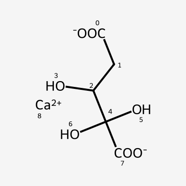 O=C([O-])CC(O)C(O)(O)C(=O)[O-].[Ca+2]